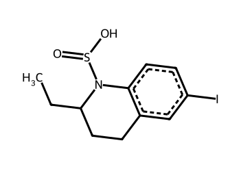 CCC1CCc2cc(I)ccc2N1S(=O)O